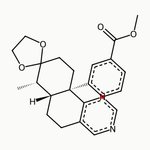 COC(=O)c1cccc([C@@]23CCC4(OCCO4)[C@@H](C)[C@H]2CCc2cncnc23)c1